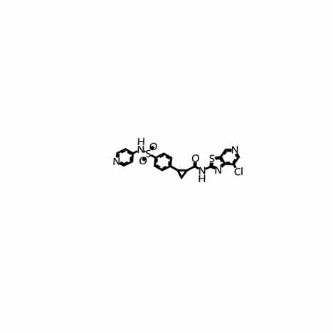 O=C(Nc1nc2c(Cl)cncc2s1)C1CC1c1ccc(S(=O)(=O)Nc2ccncc2)cc1